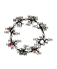 OCC1OC2O[C@H]3[C@H](O)[C@@H](O)C(OC4[C@@H](CO)OC(O[C@H]5[C@H](O)[C@@H](O)C(O[C@H]6[C@H](O)[C@@H](O)C(OC7[C@@H](CO)OC(O[C@H]8[C@H](O)[C@@H](O)C(O[C@H]9[C@H](O)[C@@H](O)C(O[C@H]1[C@H](O)[C@H]2O)O[C@@H]9CO)O[C@@H]8CO)[C@H](O)[C@H]7O)O[C@@H]6CO)O[C@@H]5CO)[C@H](O)[C@H]4O)O[C@@H]3CO